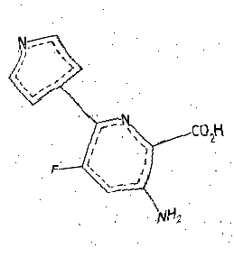 Nc1cc(F)c(-c2ccncc2)nc1C(=O)O